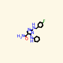 NC(=O)c1cnc(NCc2ccc(F)cc2)nc1Nc1ccccc1